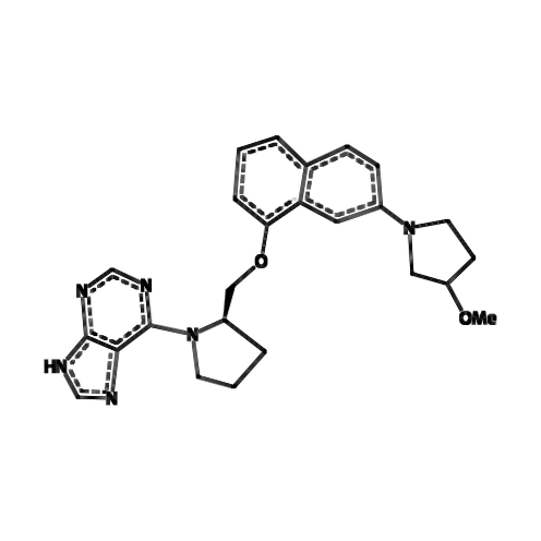 COC1CCN(c2ccc3cccc(OC[C@H]4CCCN4c4ncnc5[nH]cnc45)c3c2)C1